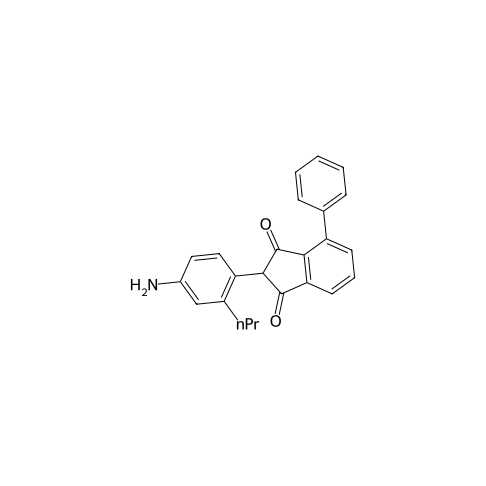 CCCc1cc(N)ccc1C1C(=O)c2cccc(-c3ccccc3)c2C1=O